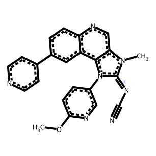 COc1ccc(-n2/c(=N\C#N)n(C)c3cnc4ccc(-c5ccncc5)cc4c32)cn1